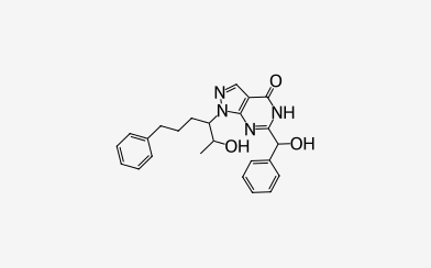 CC(O)C(CCCc1ccccc1)n1ncc2c(=O)[nH]c(C(O)c3ccccc3)nc21